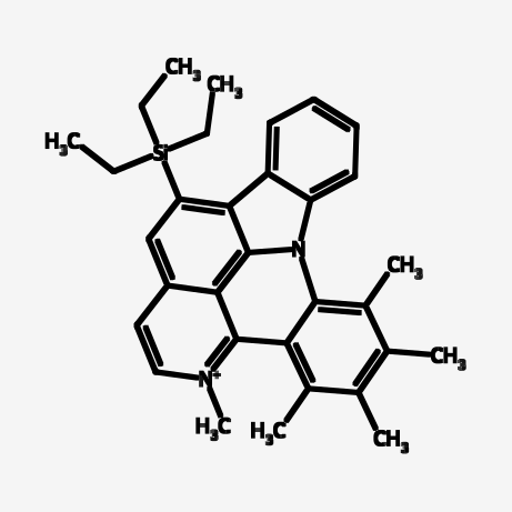 CC[Si](CC)(CC)c1cc2cc[n+](C)c3c4c(C)c(C)c(C)c(C)c4n4c5ccccc5c1c4c23